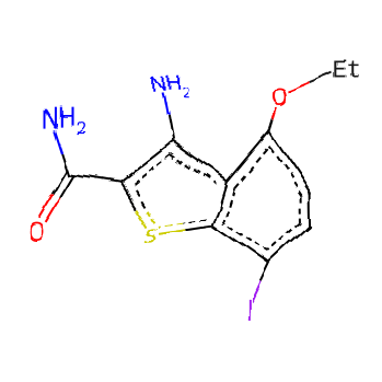 CCOc1ccc(I)c2sc(C(N)=O)c(N)c12